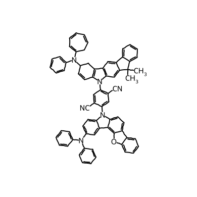 CC1(C)c2ccccc2-c2cc3c4c(n(-c5cc(C#N)c(-n6c7ccc(N(c8ccccc8)c8ccccc8)cc7c7c8oc9ccccc9c8ccc76)cc5C#N)c3cc21)C=CC(N(C1=CC=CC=CC1)c1ccccc1)C4